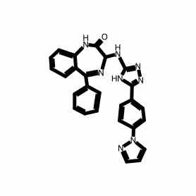 O=C1Nc2ccccc2C(c2ccccc2)=NC1Nc1nnc(-c2ccc(-n3cccn3)cc2)[nH]1